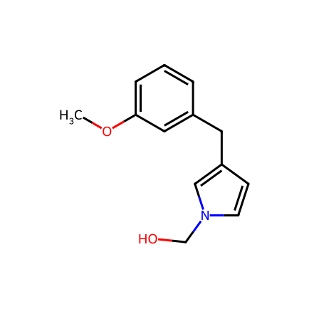 COc1cccc(Cc2ccn(CO)c2)c1